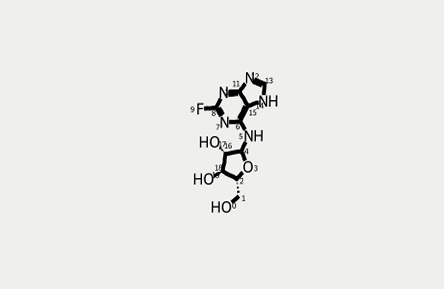 OC[C@H]1OC(Nc2nc(F)nc3nc[nH]c23)[C@@H](O)[C@@H]1O